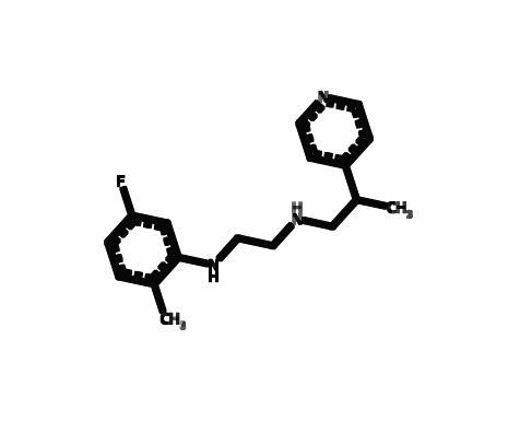 Cc1ccc(F)cc1NCCNCC(C)c1ccncc1